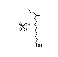 CCCCC(C)CCCCCCCCCO.O=S(=O)(O)O